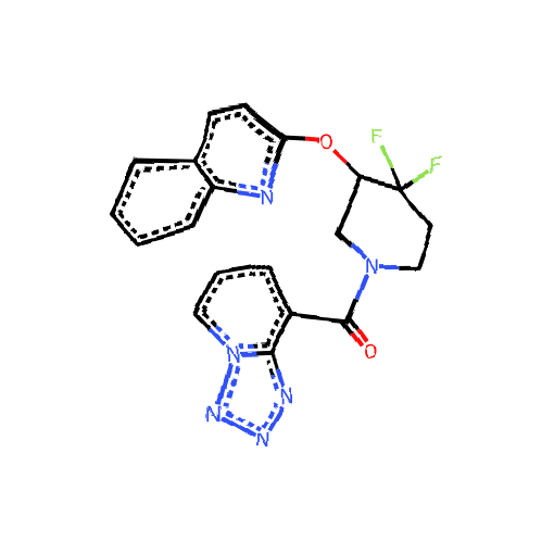 O=C(c1cccn2nnnc12)N1CCC(F)(F)C(Oc2ccc3ccccc3n2)C1